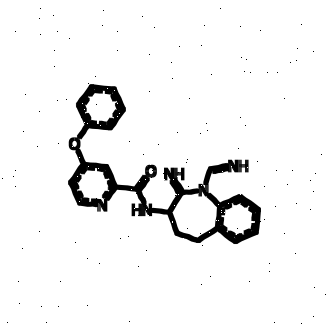 N=CN1C(=N)C(NC(=O)c2cc(Oc3ccccc3)ccn2)CCc2ccccc21